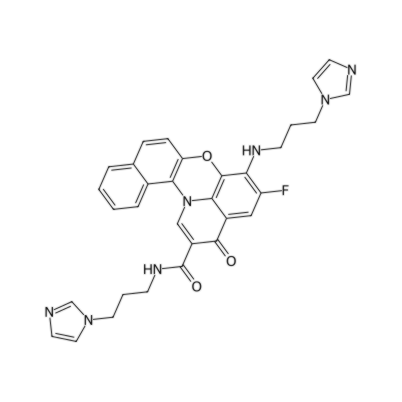 O=C(NCCCn1ccnc1)c1cn2c3c(c(NCCCn4ccnc4)c(F)cc3c1=O)Oc1ccc3ccccc3c1-2